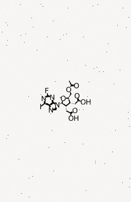 CC(=O)OC[C@@H]1O[C@@H](n2cnc3c(I)nc(F)nc32)[C@@H](CC(=O)O)[C@H]1CC(=O)O